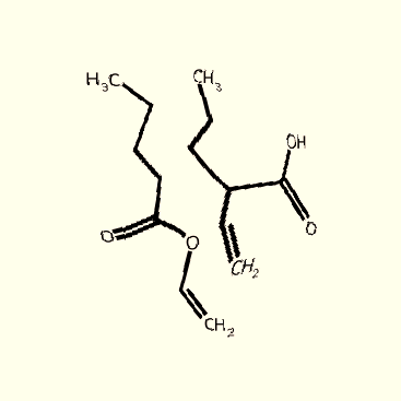 C=CC(CCC)C(=O)O.C=COC(=O)CCCC